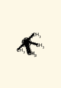 CCCCCCCCCC(=O)c1c(C(C)=O)c(C(=O)CCCCCCCCC)c(C(=O)CCCCCCCCC)c(C(=O)CCCCCCCCC)c1C(=O)CCCCCCCCC